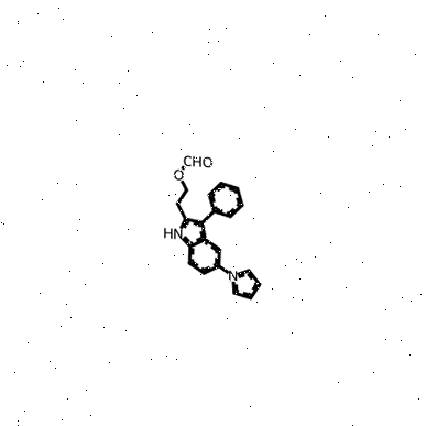 O=COCCc1[nH]c2ccc(-n3cccc3)cc2c1-c1ccccc1